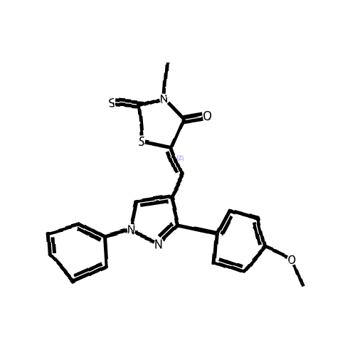 COc1ccc(-c2nn(-c3ccccc3)cc2/C=C2\SC(=S)N(C)C2=O)cc1